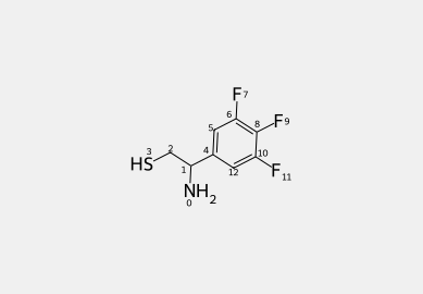 NC(CS)c1cc(F)c(F)c(F)c1